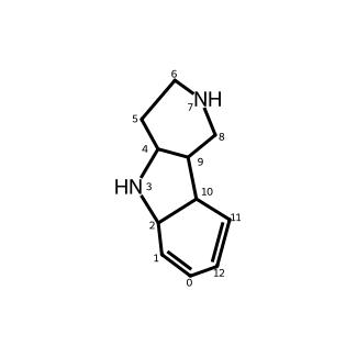 C1=CC2NC3CCNCC3C2C=C1